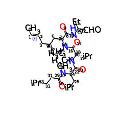 C/C=C/C[C@@H](C)C[C@@H](C(=O)N[C@H](C=O)CC)N(C)C(=O)[C@H](C(C)C)N(C)C(=O)C(CC(C)C)N(C)C(=O)CCC(C)C